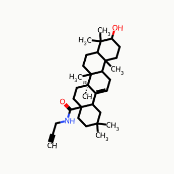 C#CCNC(=O)C12CCC(C)(C)CC1C1=CCC3C4(C)CCC(O)C(C)(C)C4CCC3(C)[C@]1(C)CC2